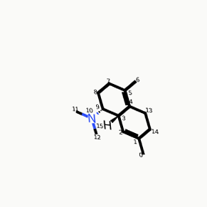 CC1=C[C@H]2C(=C(C)CC[C@H]2N(C)C)CC1